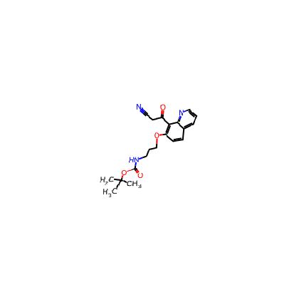 CC(C)(C)OC(=O)NCCCOc1ccc2cccnc2c1C(=O)CC#N